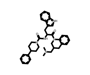 CN(C)CC1Cc2ccccc2N(C(=O)C(Cc2c[nH]c3ccccc23)NC(=O)N2CCC(c3ccccc3)CC2)C1